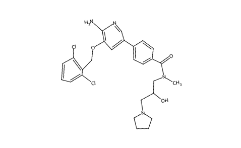 CN(CC(O)CN1CCCC1)C(=O)c1ccc(-c2cnc(N)c(OCc3c(Cl)cccc3Cl)c2)cc1